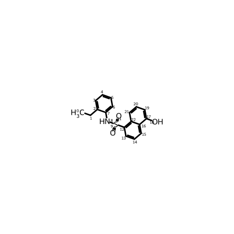 CCc1ccccc1NS(=O)(=O)c1cccc2c(O)cccc12